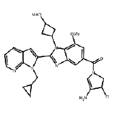 CCC1CN(C(=O)c2cc(OC)c3c(c2)nc(-c2cc4cccnc4n2CC2CC2)n3C2CC(OC)C2)C=C1N